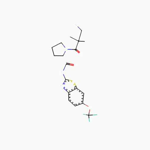 CC(C)(CN)C(=O)N1CCC[C@H]1C(=O)Nc1nc2ccc(OC(F)(F)F)cc2s1